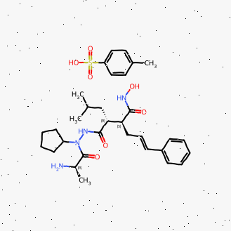 CC(C)C[C@@H](C(=O)NN(C(=O)[C@@H](C)N)C1CCCC1)[C@H](CC=Cc1ccccc1)C(=O)NO.Cc1ccc(S(=O)(=O)O)cc1